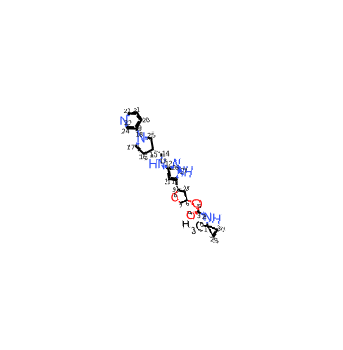 CC1(NC(=O)O[C@H]2CO[C@@H](c3cc(NC[C@@H]4CCN(c5cccnc5)C4)n[nH]3)C2)CC1